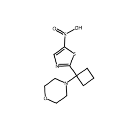 O=S(O)c1cnc(C2(N3CCOCC3)CCC2)s1